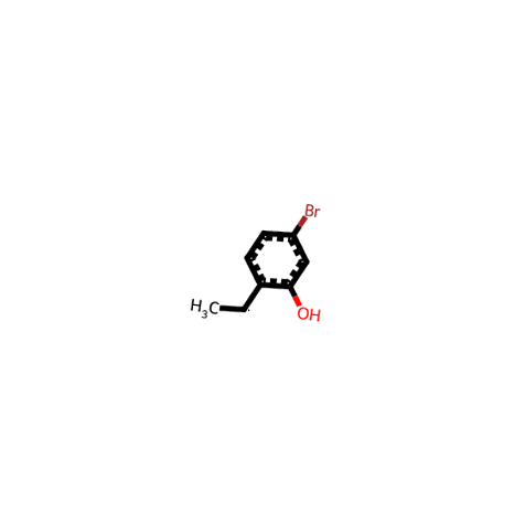 C[CH]c1ccc(Br)cc1O